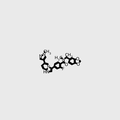 CC(c1ccc2c(c1)OCO2)N(C)C(=O)c1ccc(C2=CNC3C=CC(c4cnn(C)c4)=CN23)cc1F